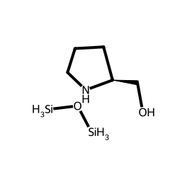 OC[C@@H]1CCCN1.[SiH3]O[SiH3]